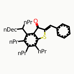 CCCCCCCCCCC(CCC)c1c(CCC)c(CCC)c(CCC)c2c1C(=O)C(=Cc1ccccc1)S2